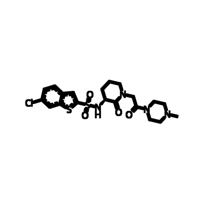 CN1CCN(C(=O)CN2CCC[C@H](NS(=O)(=O)c3cc4ccc(Cl)cc4s3)C2=O)CC1